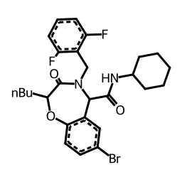 CCCCC1Oc2ccc(Br)cc2C(C(=O)NC2CCCCC2)N(Cc2c(F)cccc2F)C1=O